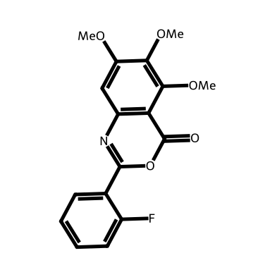 COc1cc2nc(-c3ccccc3F)oc(=O)c2c(OC)c1OC